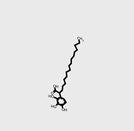 CCCCCCCCCCCCCCCCC(C(=O)O)c1ccc(O)c(O)c1O